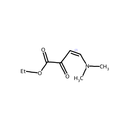 CCOC(=O)C(=O)/C=C\N(C)C